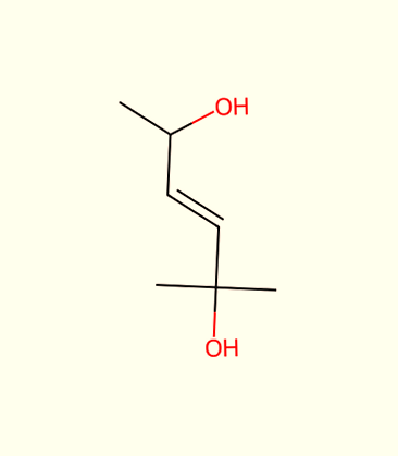 CC(O)C=CC(C)(C)O